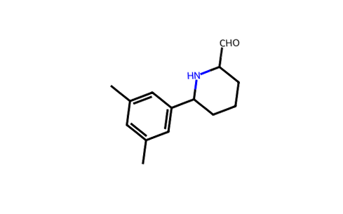 Cc1cc(C)cc(C2CCCC(C=O)N2)c1